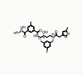 CCCN(CCC)C(=O)c1cc(C)cc(C(=O)N[C@@H](Cc2cc(F)cc(F)c2)[C@H](O)CCNC(=O)Cc2cc(C)no2)c1